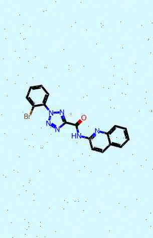 O=C(Nc1ccc2ccccc2n1)c1nnn(-c2ccccc2Br)n1